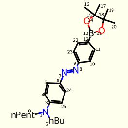 CCCCCN(CCCC)c1ccc(N=Nc2ccc(B3OC(C)(C)C(C)(C)O3)cc2)cc1